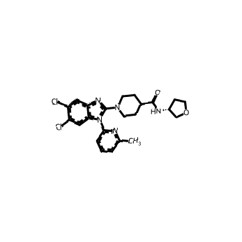 Cc1cccc(-n2c(N3CCC(C(=O)N[C@@H]4CCOC4)CC3)nc3cc(Cl)c(Cl)cc32)n1